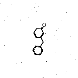 O=C1[C]=C(Cc2ccccc2)C=[C]C1